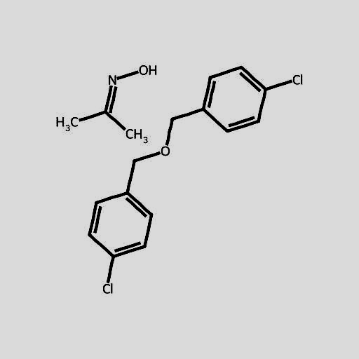 CC(C)=NO.Clc1ccc(COCc2ccc(Cl)cc2)cc1